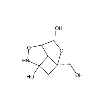 OC[C@]12CC3(O)NOC(C31)[C@H](O)O2